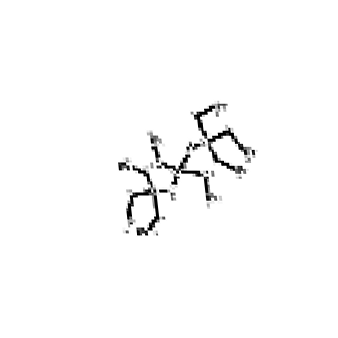 CCC(C)[O][Zr]([O]C(C)CC)([O][Si](CC(C)C)(CC(C)C)CC(C)C)[O][Si](CC(C)C)(CC(C)C)CC(C)C